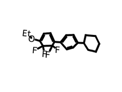 CCOC1=CC=C(c2ccc(C3CCCCC3)cc2)C(F)(F)C1(F)F